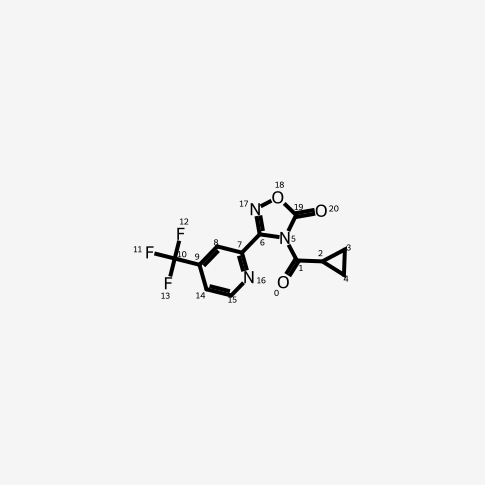 O=C(C1CC1)n1c(-c2cc(C(F)(F)F)ccn2)noc1=O